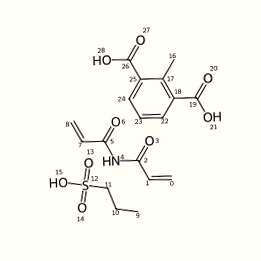 C=CC(=O)NC(=O)C=C.CCCS(=O)(=O)O.Cc1c(C(=O)O)cccc1C(=O)O